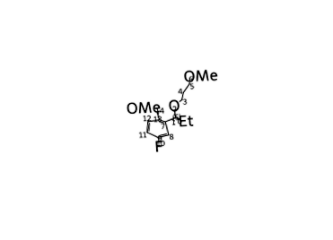 CC[C@H](OCCCOC)c1cc(F)ccc1OC